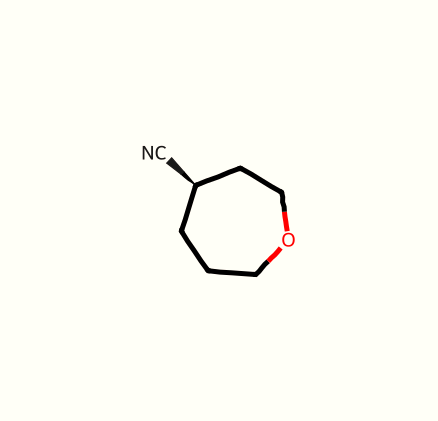 N#C[C@@H]1CCCOCC1